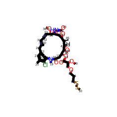 COC(COCCCSSC)C(=O)O[C@H]1CC(=O)N(C)c2cc(cc(C)c2Cl)C/C(C)=C/C=C/[C@@H](OC)[C@@]2(O)CC(OC(=O)N2)[C@@H](C)[C@@H]2O[C@@]12C